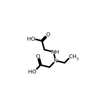 CCN(CC(=O)O)NCC(=O)O